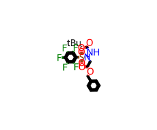 CC(C)(C)OC(=O)NN(CC(=O)OCc1ccccc1)S(=O)(=O)c1c(F)c(F)c(F)c(F)c1F